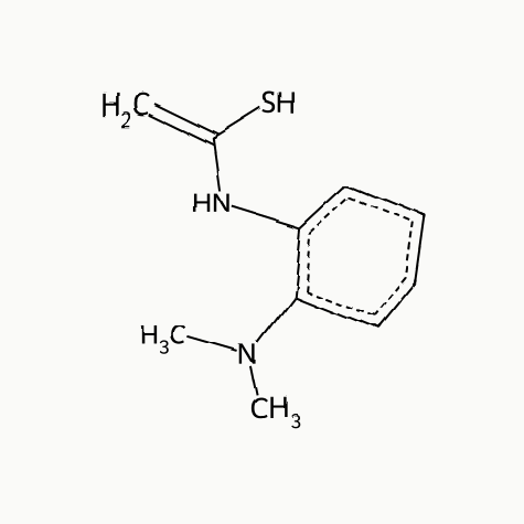 C=C(S)Nc1ccccc1N(C)C